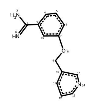 N=C(N)c1cc[c]c(OCc2cccnc2)c1